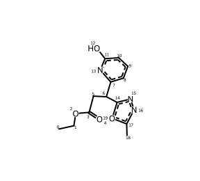 CCOC(=O)CC(c1cccc(O)n1)c1nnc(C)o1